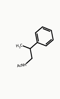 [CH2]C(=O)NCC(C)c1ccccc1